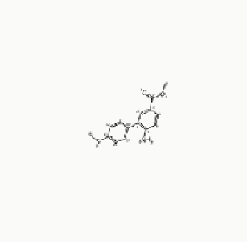 COC(=O)c1ccc(N)c(-c2ccc(SC)cc2)c1